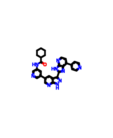 O=C(Nc1cncc(-c2cnc3[nH]nc(-c4nc5c(-c6ccncc6)ccnc5[nH]4)c3c2)c1)C1CCCCC1